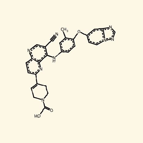 Cc1cc(Nc2c(C#N)cnc3ccc(C4=CCN(C(=O)O)CC4)nc23)ccc1Oc1ccn2ncnc2c1